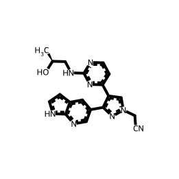 C[C@H](O)CNc1nccc(-c2cn(CC#N)nc2-c2cnc3[nH]ccc3c2)n1